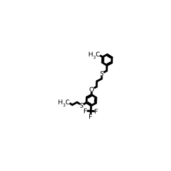 CCCSc1cc(OCCCSCc2cccc(C)c2)ccc1C(F)(F)F